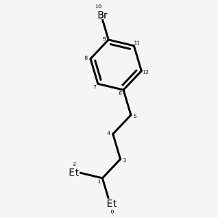 CCC(CC)CCCc1ccc(Br)cc1